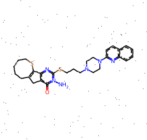 Nn1c(SCCCN2CCN(c3ccc4ccccc4n3)CC2)nc2c(c1=O)CC1=C2SCCCCC1